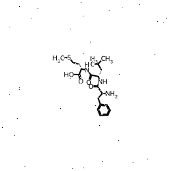 CSCC[C@H](NC(=O)[C@H](CC(C)C)NC(=O)[C@@H](N)Cc1ccccc1)C(=O)O